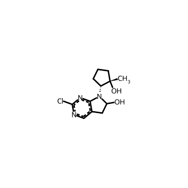 C[C@]1(O)CCC[C@H]1N1c2nc(Cl)ncc2CC1O